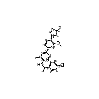 COc1nc(-c2cc(C)c(NC(C)c3ccc(Cl)cc3)nn2)ccc1-n1cnc(C)c1